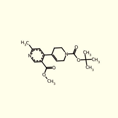 COC(=O)c1cnc(C)cc1C1=CCN(C(=O)OC(C)(C)C)CC1